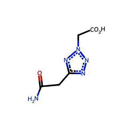 NC(=O)Cc1nnn(CC(=O)O)n1